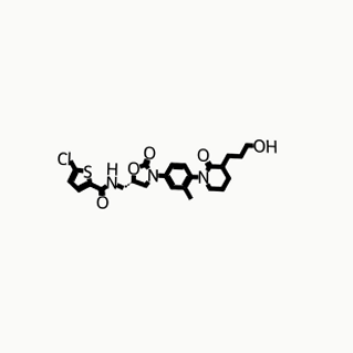 Cc1cc(N2C[C@H](CNC(=O)c3ccc(Cl)s3)OC2=O)ccc1N1CCCC(CCCO)C1=O